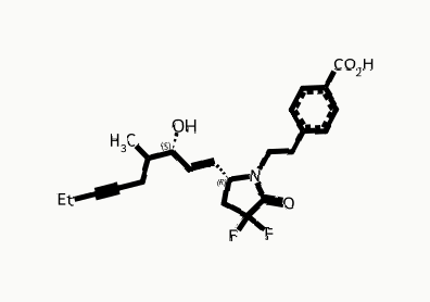 CCC#CCC(C)[C@H](O)C=C[C@H]1CC(F)(F)C(=O)N1CCc1ccc(C(=O)O)cc1